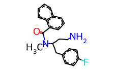 CN(C(=O)c1cccc2ccccc12)C(CCN)Cc1ccc(F)cc1